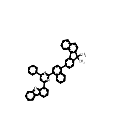 CC1(C)c2ccc(-c3ccc(-c4nc(-c5ccccc5)cc(-c5cccc6c5oc5ccccc56)n4)c4ccccc34)cc2-c2c1ccc1ccccc21